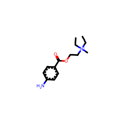 CC[N+](C)(CC)CCOC(=O)c1ccc(N)cc1